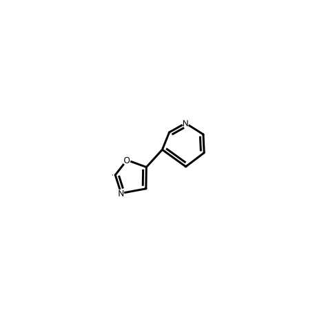 [c]1ncc(-c2cccnc2)o1